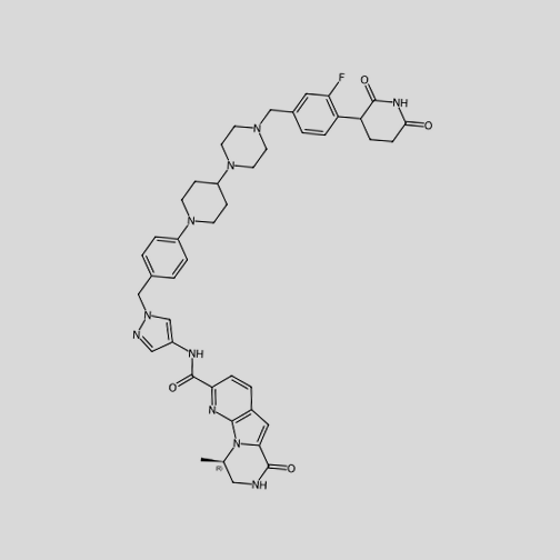 C[C@@H]1CNC(=O)c2cc3ccc(C(=O)Nc4cnn(Cc5ccc(N6CCC(N7CCN(Cc8ccc(C9CCC(=O)NC9=O)c(F)c8)CC7)CC6)cc5)c4)nc3n21